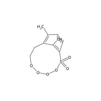 Cc1ccc2c(C)c1CCOOOOS2(=O)=O